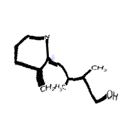 C=C1CCC=N/C1=C/C(C)C(C)CO